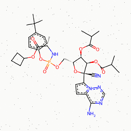 CC(C)C(=O)O[C@H]1[C@@H](OC(=O)C(C)C)[C@](C#N)(c2ccc3c(N)ncnn23)O[C@@H]1COP(=O)(N[C@@H](C)C(=O)OC1CCC1)Oc1ccc(C(C)(C)C)cc1